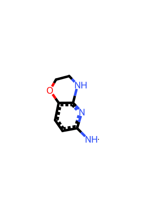 [NH]c1ccc2c(n1)NCCO2